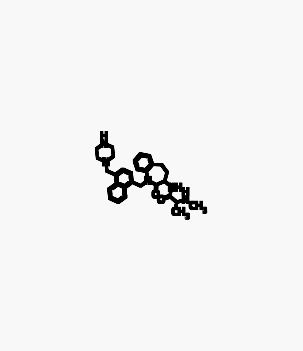 CN[C@@H](C)C(=O)NC1CCc2ccccc2N(Cc2ccc(CN3CCNCC3)c3ccccc23)C1=O